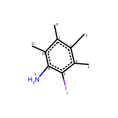 Cc1c(C)c(C)c(I)c(N)c1C